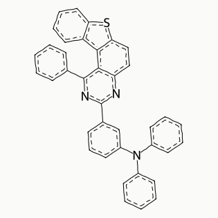 c1ccc(-c2nc(-c3cccc(N(c4ccccc4)c4ccccc4)c3)nc3ccc4sc5ccccc5c4c23)cc1